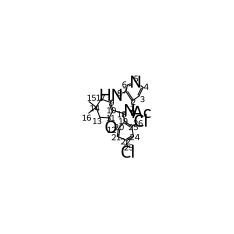 CC(=O)N1c2ccncc2NC2=C(C(=O)CC(C)(C)C2)C1c1ccc(Cl)cc1Cl